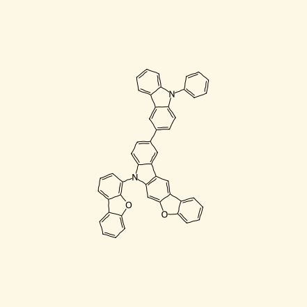 c1ccc(-n2c3ccccc3c3cc(-c4ccc5c(c4)c4cc6c(cc4n5-c4cccc5c4oc4ccccc45)oc4ccccc46)ccc32)cc1